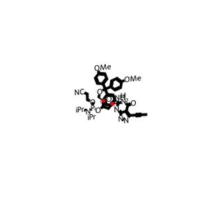 CC#CC1=C2C(=O)NC(N)([C@H]3CC(OP(OCCC#N)N(C(C)C)C(C)C)[C@@H](COC(c4ccccc4)(c4ccc(OC)cc4)c4ccc(OC)cc4)O3)N=C2N=N1